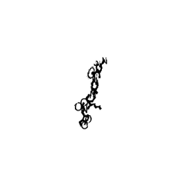 CCCCC1CN(CC2COC3OCCC23)C(=O)OC12CCN(C1(C)CCN(C(=O)c3c(C)cc(C#N)nc3C)CC1)CC2